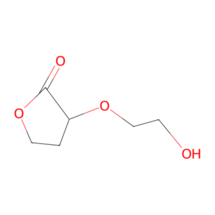 O=C1OCCC1OCCO